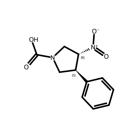 O=C(O)N1C[C@H](c2ccccc2)[C@@H]([N+](=O)[O-])C1